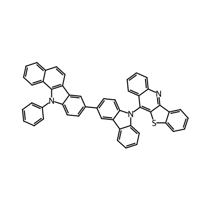 c1ccc(-n2c3ccc(-c4ccc5c(c4)c4ccccc4n5-c4c5ccccc5nc5c4sc4ccccc45)cc3c3ccc4ccccc4c32)cc1